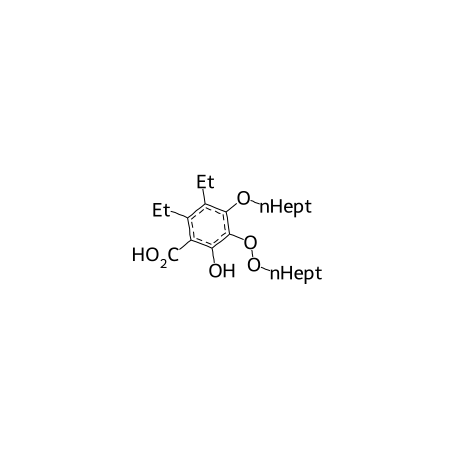 CCCCCCCOOc1c(O)c(C(=O)O)c(CC)c(CC)c1OCCCCCCC